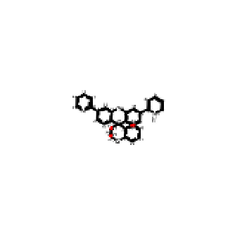 C1=CCNC(c2ccc3c(c2)Sc2cc(-c4ccccn4)ccc2C32c3ccccc3Sc3ccccc32)=C1